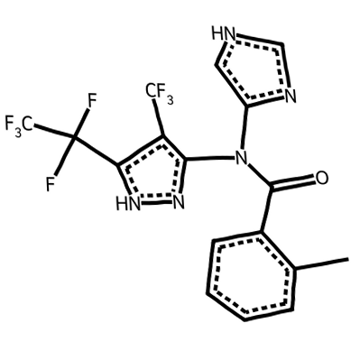 Cc1ccccc1C(=O)N(c1c[nH]cn1)c1n[nH]c(C(F)(F)C(F)(F)F)c1C(F)(F)F